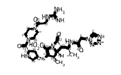 C[C@@H](NC(=O)Cn1cnnn1)[C@H]1C(=O)N2C(C(=O)O)=C(S[C@@H]3CN[C@H](C(=O)N4CCN(C(=O)CNC(=N)N)CC4)C3)[C@H](C)[C@H]12